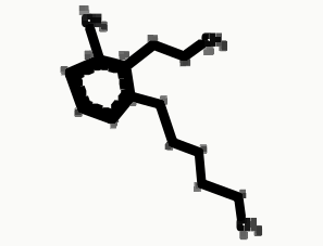 CCCCCCc1[c]ccc(C)c1CCC